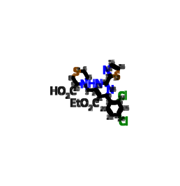 CCOC(=O)C1=C(CN2CCSCC2C(=O)O)NC(c2nccs2)=NC1c1ccc(Cl)cc1Cl